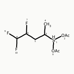 CC(=O)O[SiH](OC(C)=O)C(C)CC(F)C(F)F